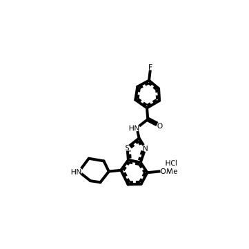 COc1ccc(C2CCNCC2)c2sc(NC(=O)c3ccc(F)cc3)nc12.Cl